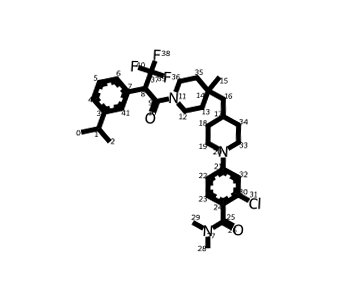 CC(C)c1cccc(C(C(=O)N2CCC(C)(CC3CCN(c4ccc(C(=O)N(C)C)c(Cl)c4)CC3)CC2)C(F)(F)F)c1